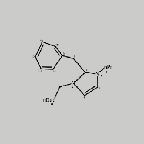 CCCCCCCCCCCN1C=CN(CCC)C1Cc1ccccc1